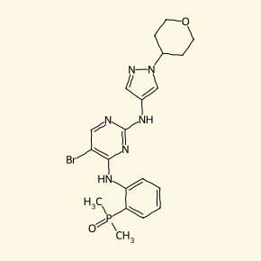 CP(C)(=O)c1ccccc1Nc1nc(Nc2cnn(C3CCOCC3)c2)ncc1Br